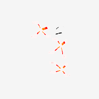 CCC.CCC.O=P(O)(O)O.O=P(O)(O)O.O=P(O)(O)O